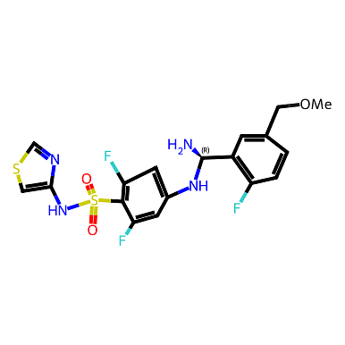 COCc1ccc(F)c([C@H](N)Nc2cc(F)c(S(=O)(=O)Nc3cscn3)c(F)c2)c1